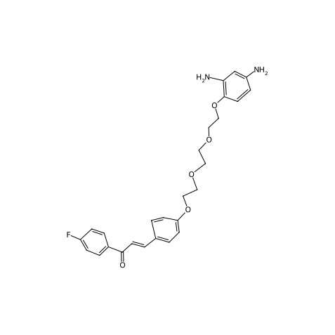 Nc1ccc(OCCOCCOCCOc2ccc(C=CC(=O)c3ccc(F)cc3)cc2)c(N)c1